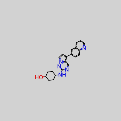 O[C@H]1CC[C@@H](Nc2ncc3c(-c4ccc5ncccc5c4)ccn3n2)CC1